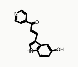 O=C(/C=C/c1c[nH]c2ccc(O)cc12)c1ccncc1